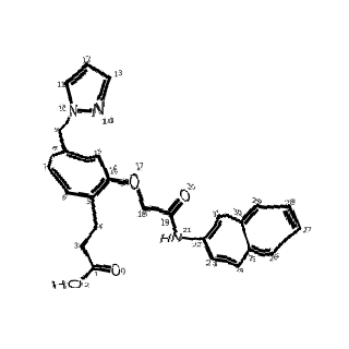 O=C(O)CCc1ccc(Cn2cccn2)cc1OCC(=O)Nc1ccc2ccccc2c1